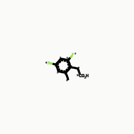 Cc1cc(F)cc(F)c1CC(=O)O